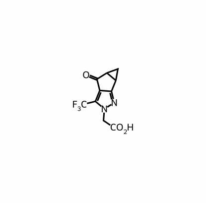 O=C(O)Cn1nc2c(c1C(F)(F)F)C(=O)C1CC21